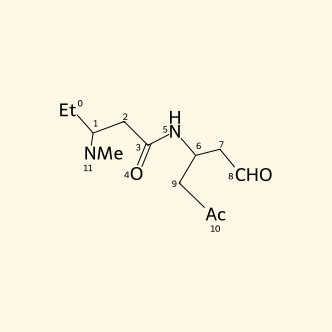 CCC(CC(=O)NC(CC=O)CC(C)=O)NC